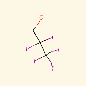 [O]CC(I)(I)C(I)(I)I